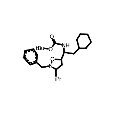 CC(C)C1CC(C(CC2CCCCC2)NC(=O)OC(C)(C)C)ON1Cc1ccccc1